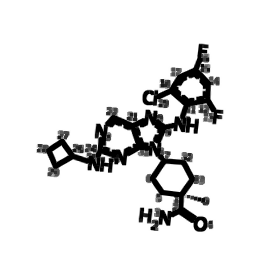 C[C@]1(C(N)=O)CC[C@@H](n2c(Nc3c(F)cc(F)cc3Cl)nc3cnc(NC4CCC4)nc32)CC1